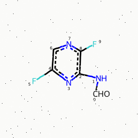 O=CNc1nc(F)cnc1F